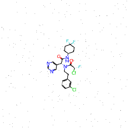 O=C(NC1CCC(F)(F)CC1)[C@@H](c1cncnc1)N(CCc1cccc(Cl)c1)C(=O)[C@H](F)Cl